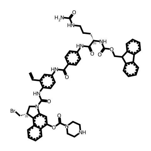 C=Cc1cc(NC(=O)c2ccc(NC(=O)[C@H](CCCNC(N)=O)NC(=O)OCC3c4ccccc4-c4ccccc43)cc2)ccc1NC(=O)N1C[C@@H](CBr)c2c1cc(OC(=O)N1CCNCC1)c1ccccc21